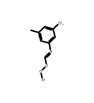 CCOO/C=N/c1cc(C)cc(C(F)(F)F)c1